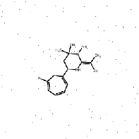 CC(=O)/C(C)=C1\NC(C2=CC=CC=C(F)C2)CC(C)(C)N1N